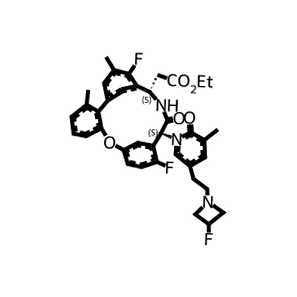 CCOC(=O)C[C@@H]1NC(=O)[C@@H](n2cc(CCN3CC(F)C3)cc(C)c2=O)c2cc(ccc2F)Oc2cccc(C)c2-c2cc(C)c(F)c1c2